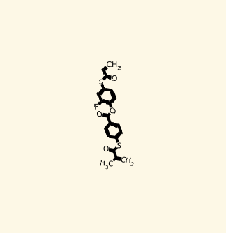 C=CC(=O)Sc1ccc(OC(=O)c2ccc(SC(=O)C(=C)C)cc2)c(F)c1